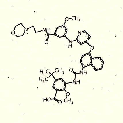 COc1cc(Nc2cc(Oc3ccc(NC(=O)Nc4cc(C(C)(C)C)cc(C(=O)O)c4OC)c4ccccc34)ccn2)cc(C(=O)NCCN2CCOCC2)c1